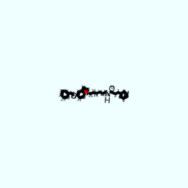 O=C(CCc1cccnc1)NCCCCCCn1ccc2cc(OCc3ccccc3)ccc21